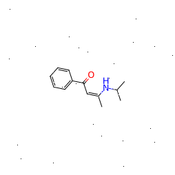 CC(=CC(=O)c1ccccc1)NC(C)C